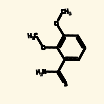 COc1cccc(C(N)=S)c1OC